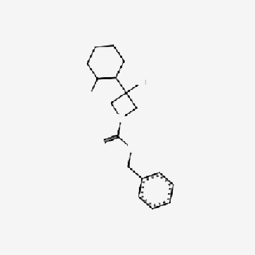 O=C(OCc1ccccc1)N1CC(O)(C2CCCCC2O)C1